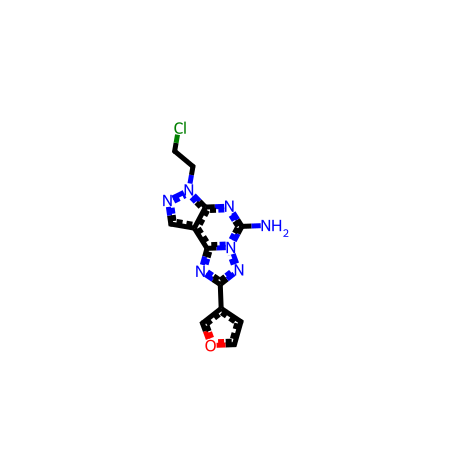 Nc1nc2c(cnn2CCCl)c2nc(-c3ccoc3)nn12